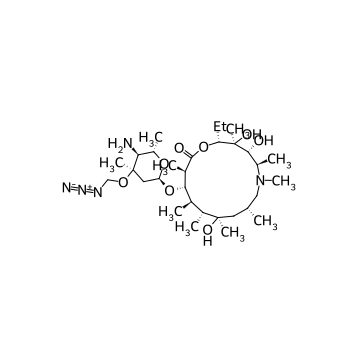 CC[C@H]1OC(=O)[C@H](C)[C@@H](O[C@H]2C[C@@](C)(OCN=[N+]=[N-])[C@@H](N)[C@H](C)O2)[C@H](C)[C@@H](C)[C@](C)(O)C[C@@H](C)CN(C)[C@H](C)[C@@H](O)[C@]1(C)O